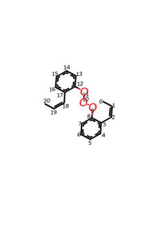 C/C=C\c1ccccc1OOOc1ccccc1/C=C\C